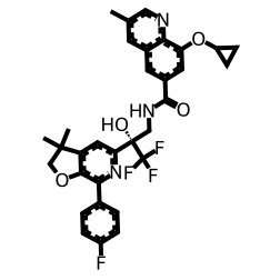 Cc1cnc2c(OC3CC3)cc(C(=O)NC[C@](O)(c3cc4c(c(-c5ccc(F)cc5)n3)OCC4(C)C)C(F)(F)F)cc2c1